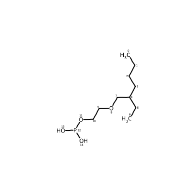 CCCCC(CC)COCCOP(O)O